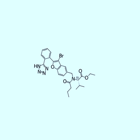 CCCC(=O)N(Cc1ccc2oc(-c3ccccc3-c3nnn[nH]3)c(Br)c2c1)[C@H](C(=O)OCC)C(C)C